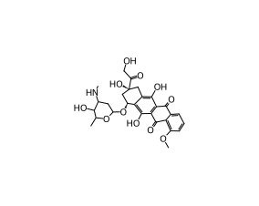 CNC1CC(O[C@H]2C[C@](O)(C(=O)CO)Cc3c(O)c4c(c(O)c32)C(=O)c2c(OC)cccc2C4=O)OC(C)C1O